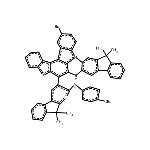 CC(C)(C)c1ccc(Nc2cc3c(cc2-c2c4c5c(c6cc(C(C)(C)C)ccc6n5-c5cc6c(cc5B4)-c4ccccc4C6(C)C)c4c2sc2ccccc24)-c2ccccc2C3(C)C)cc1